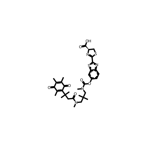 CC1=C(C)C(=O)C(C(C)(C)CC(=O)N(C)CC(C)(C)CN(C)C(=O)Oc2ccc3nc(C4=N[C@@H](C(=O)O)CS4)sc3c2)=C(C)C1=O